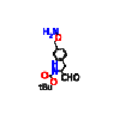 CC(C)(C)OC(=O)NC(C=O)Cc1ccc(CON)cc1